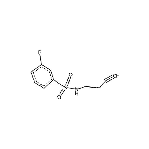 C#CCCNS(=O)(=O)c1cccc(F)c1